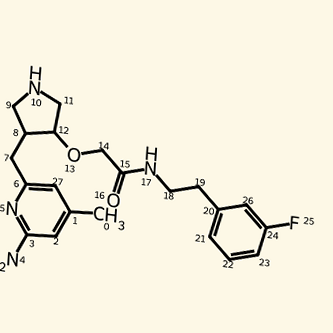 Cc1cc(N)nc(CC2CNCC2OCC(=O)NCCc2cccc(F)c2)c1